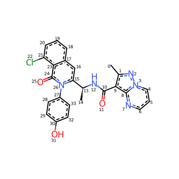 Cc1nn2cccnc2c1C(=O)N[C@@H](C)c1cc2cccc(Cl)c2c(=O)n1-c1ccc(O)cc1